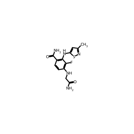 Cc1cc(Nc2c(C(N)=O)ccc(NCC(N)=O)c2F)sn1